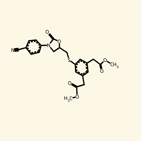 COC(=O)Cc1cc(CC(=O)OC)cc(SCC2CN(c3ccc(C#N)cc3)C(=O)O2)c1